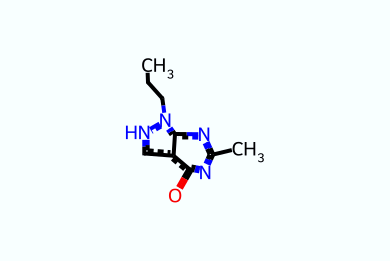 CCCn1[nH]cc2c(=O)nc(C)nc1-2